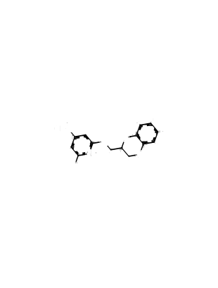 Clc1cc(C(Cl)(Cl)Cl)cc(OCC2COc3ccccc3O2)n1